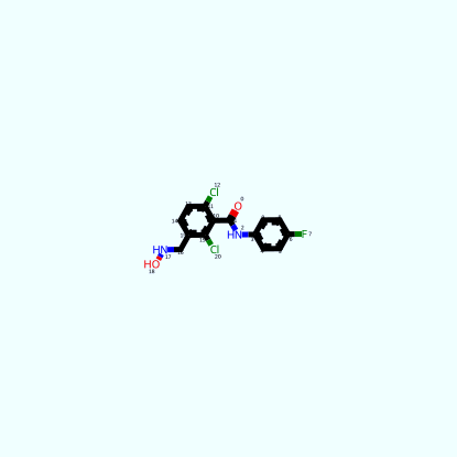 O=C(Nc1ccc(F)cc1)c1c(Cl)ccc(CNO)c1Cl